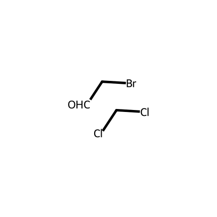 ClCCl.O=CCBr